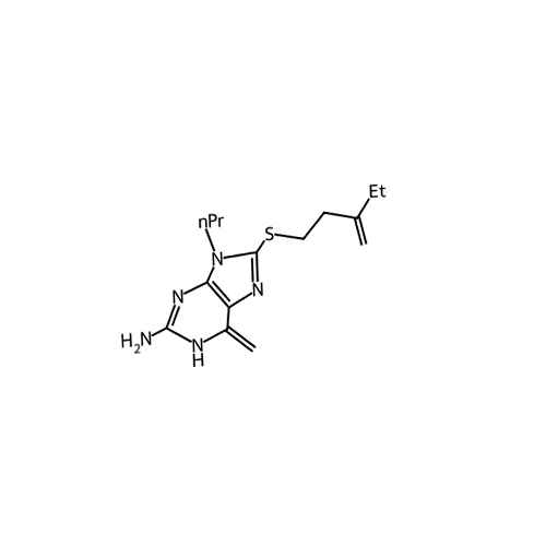 C=C(CC)CCSc1nc2c(n1CCC)N=C(N)NC2=C